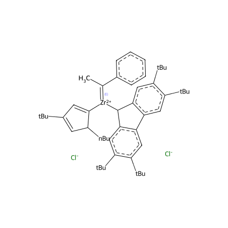 CCCCC1C=C(C(C)(C)C)C=[C]1/[Zr+2](=[C](\C)c1ccccc1)[CH]1c2cc(C(C)(C)C)c(C(C)(C)C)cc2-c2cc(C(C)(C)C)c(C(C)(C)C)cc21.[Cl-].[Cl-]